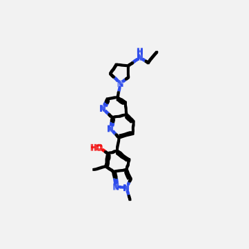 CCNC1CCN(c2cnc3nc(-c4cc5cn(C)nc5c(C)c4O)ccc3c2)C1